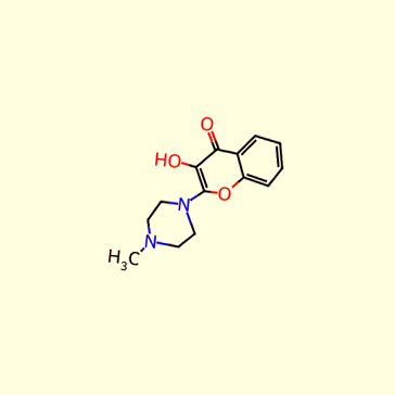 CN1CCN(c2oc3ccccc3c(=O)c2O)CC1